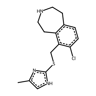 Cc1c[nH]c(SCc2c(Cl)ccc3c2CCNCC3)n1